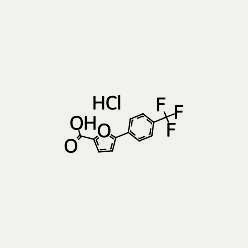 Cl.O=C(O)c1ccc(-c2ccc(C(F)(F)F)cc2)o1